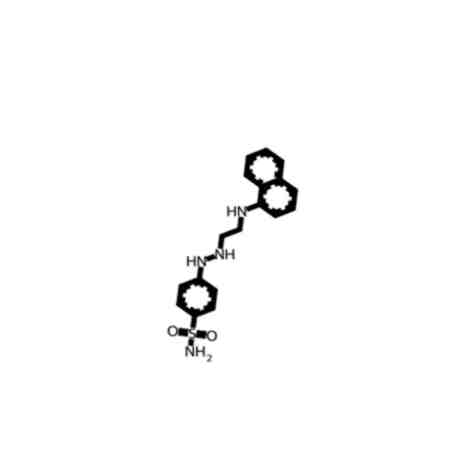 NS(=O)(=O)c1ccc(NNCCNc2cccc3ccccc23)cc1